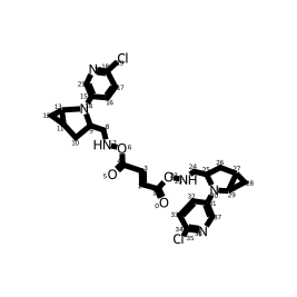 O=C(/C=C/C(=O)ONCC1CC2CC2N1c1ccc(Cl)nc1)ONCC1CC2CC2N1c1ccc(Cl)nc1